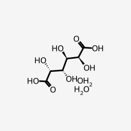 O.O.O=C(O)[C@@H](O)[C@H](O)[C@H](O)[C@@H](O)C(=O)O